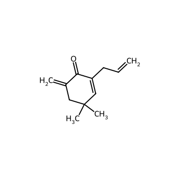 C=CCC1=CC(C)(C)CC(=C)C1=O